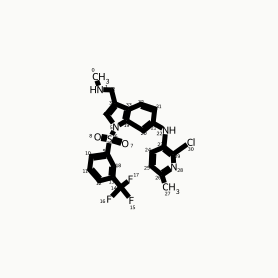 CNCc1cn(S(=O)(=O)c2cccc(C(F)(F)F)c2)c2cc(Nc3ccc(C)nc3Cl)ccc12